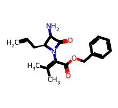 C=CC[C@H]1C(N)C(=O)N1C(C(=O)OCc1ccccc1)=C(C)C